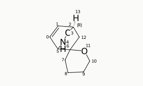 C1=C[C@@H]2CNC1C1(CCCCO1)C2